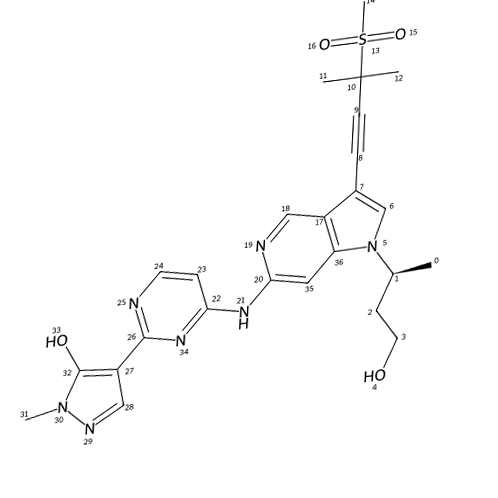 C[C@@H](CCO)n1cc(C#CC(C)(C)S(C)(=O)=O)c2cnc(Nc3ccnc(-c4cnn(C)c4O)n3)cc21